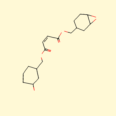 O=C(/C=C\C(=O)OCC1CCC2OC2C1)OCC1CCCC(O)C1